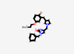 COCCOc1ccc(Br)c(CC2CCN(CC3CN(Cc4ccccc4)C(=O)N3)C2)c1